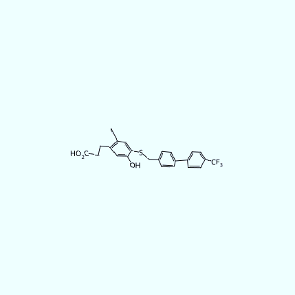 Cc1cc(SCc2ccc(-c3ccc(C(F)(F)F)cc3)cc2)c(O)cc1CCC(=O)O